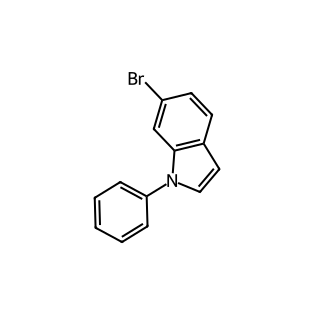 Brc1ccc2ccn(-c3ccccc3)c2c1